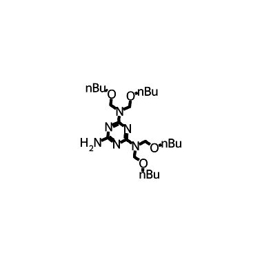 CCCCOCN(COCCCC)c1nc(N)nc(N(COCCCC)COCCCC)n1